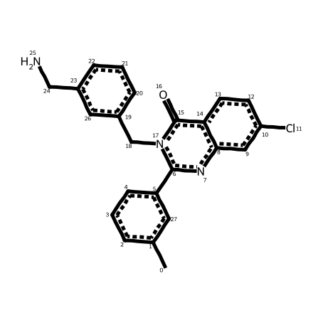 Cc1cccc(-c2nc3cc(Cl)ccc3c(=O)n2Cc2cccc(CN)c2)c1